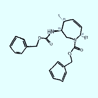 CC[C@H]1C=C[C@@H](C)[C@H](NC(=O)OCc2ccccc2)CN1C(=O)OCc1ccccc1